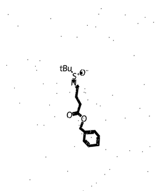 CC(C)(C)[S@+]([O-])/N=C/CCC(=O)OCc1ccccc1